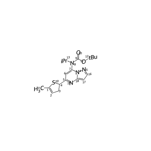 CC1=CCC(c2cc(N(C(=O)OC(C)(C)C)C(C)C)n3nccc3n2)S1